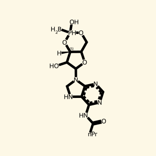 B[PH]1(O)OCC2OC(N3CNc4c(NC(=O)CCC)ncnc43)C(O)[C@@H]2O1